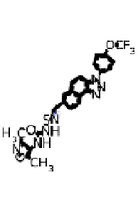 Cc1noc(C)c1NC(=O)NS/N=C/c1ccc2c(ccc3c2nnn3-c2ccc(OC(F)(F)F)cc2)c1